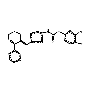 O=C(Nc1ccc(/C=C2\CCCN=C2c2cccnc2)cc1)Nc1ccc(Cl)c(Cl)c1